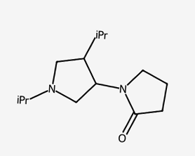 CC(C)C1CN(C(C)C)CC1N1CCCC1=O